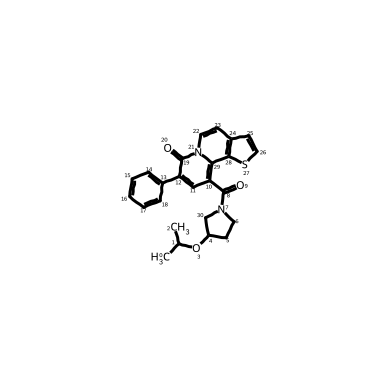 CC(C)OC1CCN(C(=O)c2cc(-c3ccccc3)c(=O)n3ccc4ccsc4c23)C1